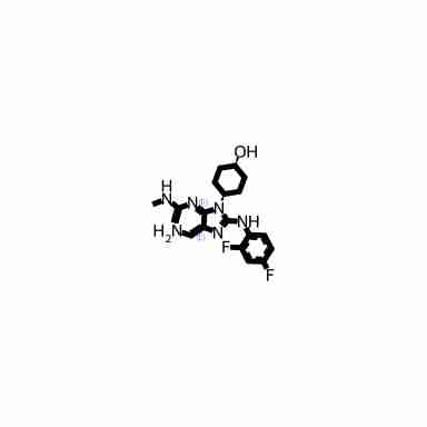 C=C(/N=C1\C(=C/N)N=C(Nc2ccc(F)cc2F)N1[C@H]1CC[C@@H](O)CC1)NC